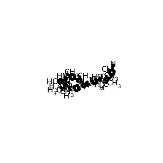 Cc1ncsc1-c1ccc([C@H](C)NC(=O)[C@@H]2C[C@@H](O)CN2C(=O)[C@@H](NC(=O)CN2CCN(C3CC4(C3)CN(c3ccc(C(=O)NC5C(C)(C)C(Oc6ccc(C#N)c(Cl)c6)C5(C)C)cn3)C4)CC2)C(C)(C)C)cc1